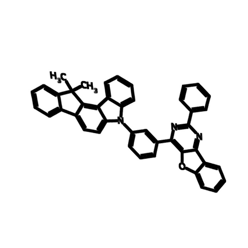 CC1(C)c2ccccc2-c2ccc3c(c21)c1ccccc1n3-c1cccc(-c2nc(-c3ccccc3)nc3c2oc2ccccc23)c1